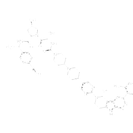 C#Cc1ccc([C@H](C)NC(=O)[C@@H]2C[C@@H](O)CN2C(=O)[C@@H](NC(=O)N2CCC(N3CCC(c4cnc(N5CCc6[nH]c7nnc(-c8ccccc8O)cc7c6[C@H]5C(F)(F)F)nc4)CC3)CC2)C(C)(C)C)cc1